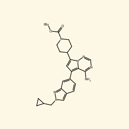 CC(C)(C)OC(=O)N1CCC(c2cc(-c3ccc4cn(CC5CC5)nc4c3)c3c(N)ncnn23)CC1